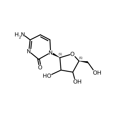 Nc1ccn([C@H]2O[C@@H](CO)C(O)C2O)c(=O)n1